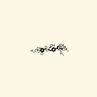 CC(C)Oc1ccc(C(=O)O[C@H](CCO)Cc2ccc(-c3cn(C)c(C(C)(C)C)n3)cc2)cc1Cl